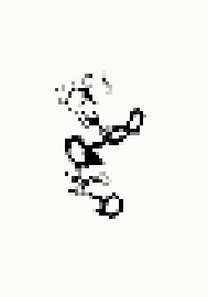 CC(C)(C)OC(=O)n1c(-c2cccc(S(=O)(=O)NC3CCCCC3)c2)cc2ccccc21